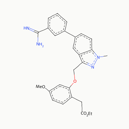 CCOC(=O)Cc1ccc(OC)cc1OCc1nn(C)c2ccc(-c3cccc(C(=N)N)c3)cc12